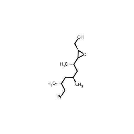 CC(C)C[C@H](C)C[C@H](C)C[C@H](C)C1O[C@@H]1CO